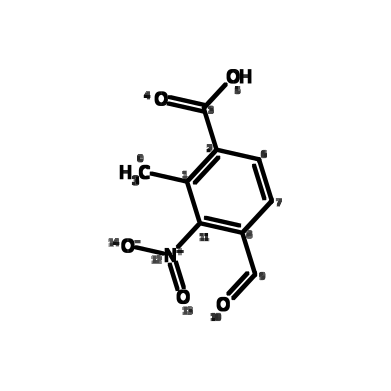 Cc1c(C(=O)O)ccc(C=O)c1[N+](=O)[O-]